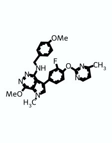 COc1ccc(CNc2nnc(OC)c3c2c(-c2ccc(Oc4nccc(C)n4)c(F)c2)cn3C)cc1